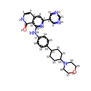 O=C1[N]C=Cc2cc(-c3cncnc3)nc(Nc3ccc(C4CCC(N5CCOCC5)CC4)cc3)c21